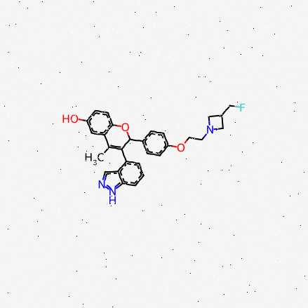 CC1=C(c2cccc3[nH]ncc23)C(c2ccc(OCCN3CC(CF)C3)cc2)Oc2ccc(O)cc21